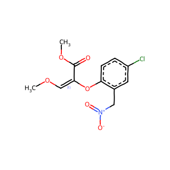 CO/C=C(/Oc1ccc(Cl)cc1C[N+](=O)[O-])C(=O)OC